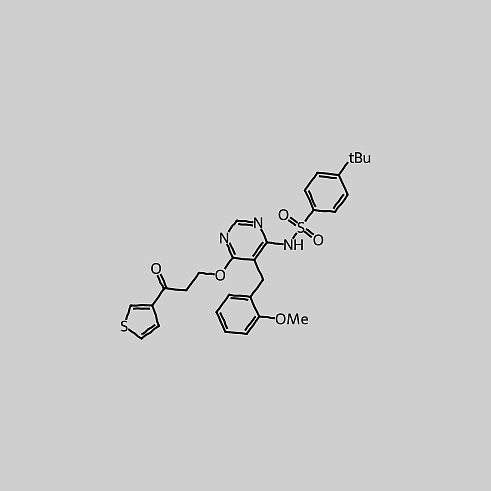 COc1ccccc1Cc1c(NS(=O)(=O)c2ccc(C(C)(C)C)cc2)ncnc1OCCC(=O)c1ccsc1